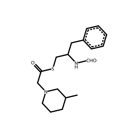 CC1CCCN(CC(=O)SCC(Cc2ccccc2)N[C]=O)C1